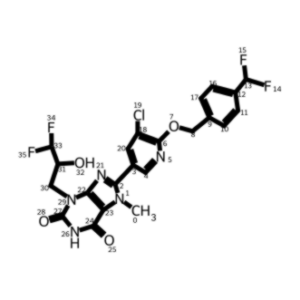 Cn1c(-c2cnc(OCc3ccc(C(F)F)cc3)c(Cl)c2)nc2c1c(=O)[nH]c(=O)n2CC(O)C(F)F